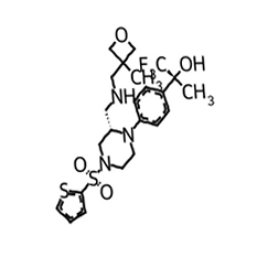 CC1(CNC[C@H]2CN(S(=O)(=O)c3cccs3)CCN2c2ccc([C@@](C)(O)C(F)(F)F)cc2)COC1